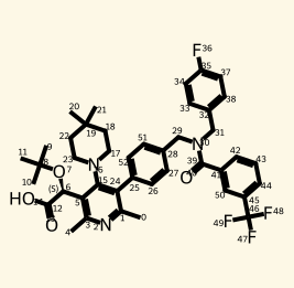 Cc1nc(C)c([C@H](OC(C)(C)C)C(=O)O)c(N2CCC(C)(C)CC2)c1-c1ccc(CN(Cc2ccc(F)cc2)C(=O)c2cccc(C(F)(F)F)c2)cc1